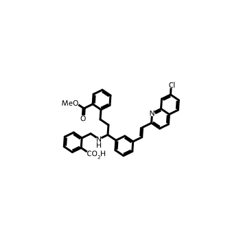 COC(=O)c1ccccc1CCC(NCc1ccccc1C(=O)O)c1cccc(/C=C/c2ccc3ccc(Cl)cc3n2)c1